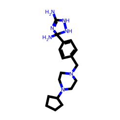 NC1=NC(N)(c2ccc(CN3CCN(C4CCCC4)CC3)cc2)NN1